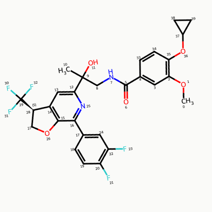 COc1cc(C(=O)NCC(C)(O)c2cc3c(c(-c4ccc(F)c(F)c4)n2)OC[C@H]3C(F)(F)F)ccc1OC1CC1